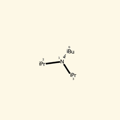 CC[C@@H](C)N(C(C)C)C(C)C